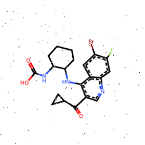 O=C(O)NC1CCCCC1Nc1c(C(=O)C2CC2)cnc2cc(F)c(Br)cc12